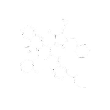 COC(=O)c1ccc(OC)c(NC(=O)C(C2=Nc3ccccc3S(=O)(=O)N2Cc2ccccc2)N2C(=O)C(C3CO3)N(Cc3ccccc3)C2=O)c1